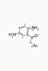 CC(=O)CC(=O)c1cc(N)ccc1N